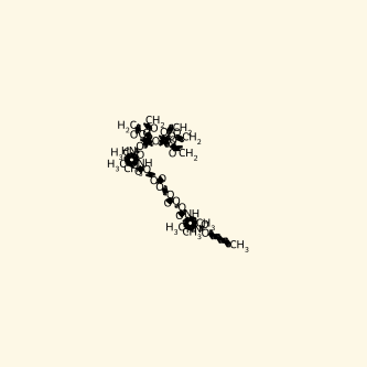 C=CC(=O)OCC(COCC(COC(=O)C=C)(COC(=O)C=C)COC(=O)NC1(C)CC(NC(=O)OCCOC(=O)OCCOC(=O)OCOC(=O)NC2CC(C)(C)CC(C)(NC(=O)OCCCCCCC)C2)CC(C)(C)C1)(COC(=O)C=C)COC(=O)C=C